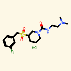 CN(C)CCNC(=O)N1CCCC(S(=O)(=O)Cc2cccc(Cl)c2)C1.Cl